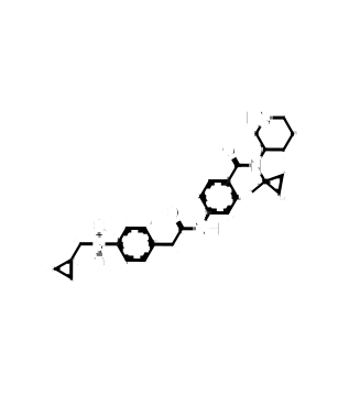 CC1(N(C(=O)c2ccc(NC(=O)Cc3ccc(S(=O)(=O)CC4CC4)cc3)cc2)C2CCCNC2)CC1